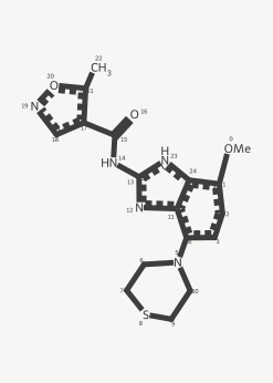 COc1ccc(N2CCSCC2)c2nc(NC(=O)c3cnoc3C)[nH]c12